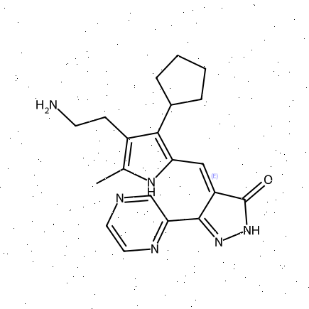 Cc1[nH]c(/C=C2/C(=O)NN=C2c2cnccn2)c(C2CCCC2)c1CCN